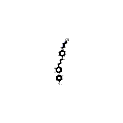 CCc1ccc([C@H]2CC[C@H](CCCC[C@H]3CC[C@H](/C=C/C=C/C#N)CC3)CC2)cc1